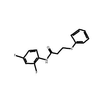 O=C(CCSc1ccccc1)Nc1ccc(F)cc1F